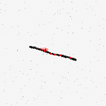 CCCCCCCCCCCCCCCCCCCCCCCCCCCCCCCCCCCCC(CCCCCCCCCCCCCCCCCC)C(=O)O